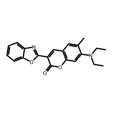 CCN(CC)c1cc2oc(=O)c(-c3nc4ccccc4o3)cc2cc1C